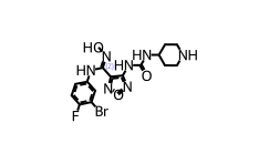 O=C(Nc1nonc1/C(=N/O)Nc1ccc(F)c(Br)c1)NC1CCNCC1